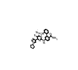 NC(=O)c1ccc(Nc2ncc(F)c(-c3cn(C4CCCC4)nn3)n2)cc1-c1ccccc1N.[N]